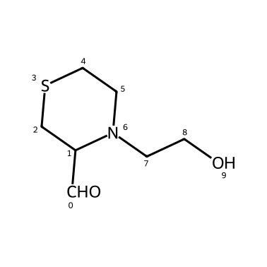 O=CC1CSCCN1CCO